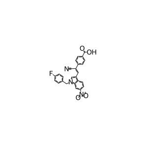 N#C/C(=C\c1cn(Cc2ccc(F)cc2)c2cc([N+](=O)[O-])ccc12)c1ccc(C(=O)O)cc1